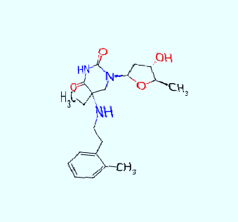 CCC1(NCCc2ccccc2C)CN([C@H]2C[C@H](O)[C@@H](C)O2)C(=O)NC1=O